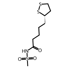 CS(=O)(=O)NC(=O)CCCC[C@H]1CCSS1